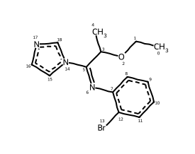 CCOC(C)/C(=N\c1ccccc1Br)n1ccnc1